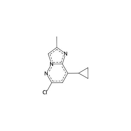 Cc1cn2nc(Cl)cc(C3CC3)c2n1